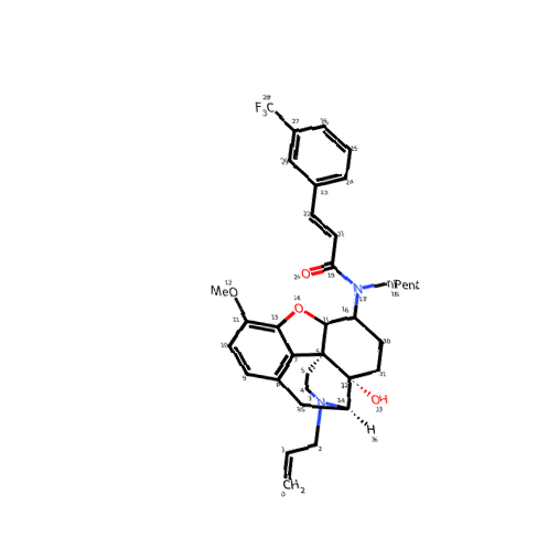 C=CCN1CC[C@]23c4c5ccc(OC)c4OC2C(N(CCCCC)C(=O)/C=C/c2cccc(C(F)(F)F)c2)CC[C@@]3(O)[C@H]1C5